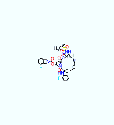 CC1(S(=O)(=O)NC(=O)[C@@]23C[C@H]2/C=C\CCCCC[C@H](Nc2ccccc2F)C(=O)N2C[C@H](OC(=O)N4Cc5cccc(F)c5C4)C[C@H]2C(=O)N3)CC1